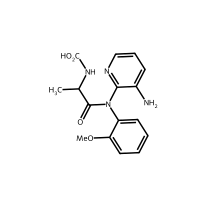 COc1ccccc1N(C(=O)C(C)NC(=O)O)c1ncccc1N